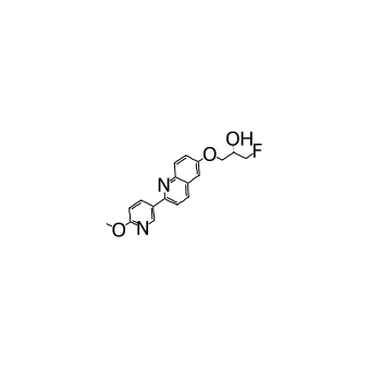 COc1ccc(-c2ccc3cc(OC[C@H](O)CF)ccc3n2)cn1